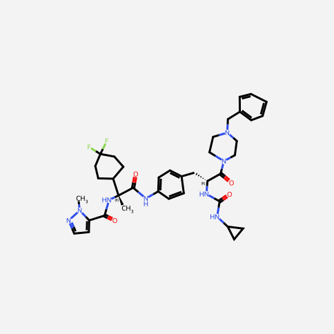 Cn1nccc1C(=O)N[C@@](C)(C(=O)Nc1ccc(C[C@@H](NC(=O)NC2CC2)C(=O)N2CCN(Cc3ccccc3)CC2)cc1)C1CCC(F)(F)CC1